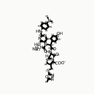 Cc1nnc(SCC2=C(C(=O)[O-])N3C(=O)C(NC(=O)C(c4ccc(O)cc4)N(C(N)=O)c4cnc(Nc5ccc(N(C)C)cc5)nc4O)[C@@H]3SC2)o1.[Na+]